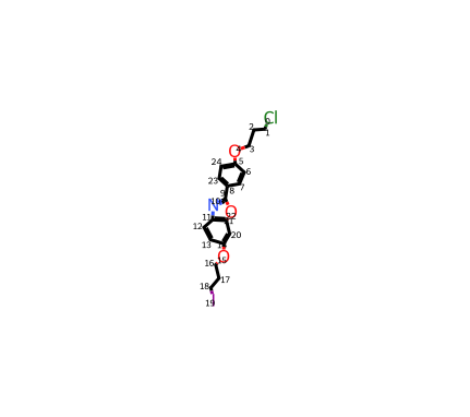 ClCCCOc1ccc(-c2nc3ccc(OCCCI)cc3o2)cc1